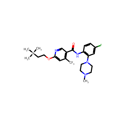 CN1CCN(c2cc(F)ccc2NC(=O)c2cnc(OCC[Si](C)(C)C)cc2C(F)(F)F)CC1